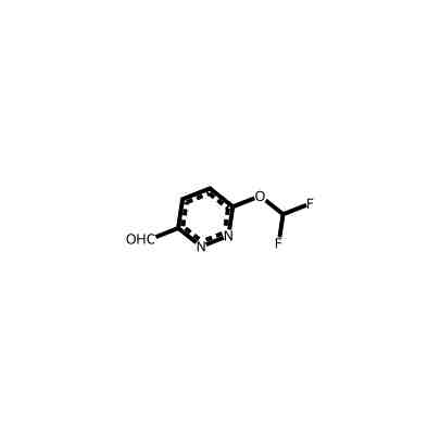 O=Cc1ccc(OC(F)F)nn1